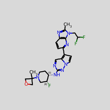 Cc1nc2ccc(-c3ccn4nc(N[C@H]5CCN(C6(C)COC6)C[C@H]5F)ncc34)nc2n1CC(F)F